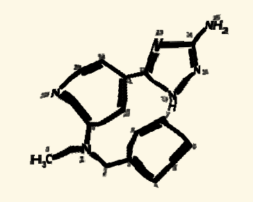 CN(Cc1ccccc1)c1cc(-c2nc(N)n[nH]2)ccn1